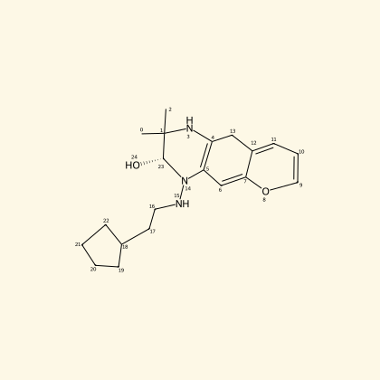 CC1(C)NC2=C(C=C3OC=CC=C3C2)N(NCCC2CCCC2)[C@@H]1O